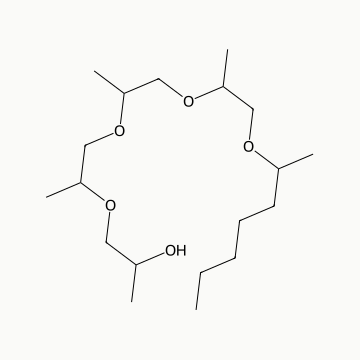 CCCCCC(C)OCC(C)OCC(C)OCC(C)OCC(C)O